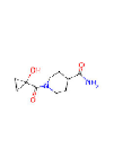 NC(=O)C1CCN(C(=O)C2(O)CC2)CC1